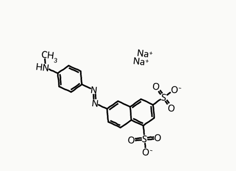 CNc1ccc(N=Nc2ccc3c(S(=O)(=O)[O-])cc(S(=O)(=O)[O-])cc3c2)cc1.[Na+].[Na+]